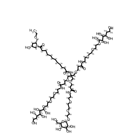 CCOC[C@@H]1C[C@@H](O)CN1C(=O)CCCCCCCCCCC(=O)NC(COCCC(=O)NCCOCCOCCO[C@H]1OC(CO)[C@@H](O)C(O)[C@H]1O)(COCCC(=O)NCCOCCOCCO[C@@H](O)[C@H](O)C(O)[C@H](O)CCO)COCCC(=O)NCCOCCOCCO[C@@H](O)[C@H](O)C(O)[C@H](O)CCO